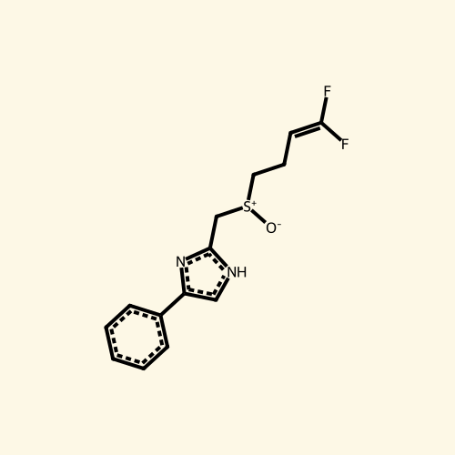 [O-][S+](CCC=C(F)F)Cc1nc(-c2ccccc2)c[nH]1